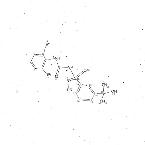 CC(C)c1cccc(C(C)C)c1NC(=O)NS(=O)(=NC#N)c1cccc(C(C)(C)O)c1